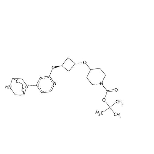 CC(C)(C)OC(=O)N1CCC(O[C@H]2C[C@H](Oc3cc(N4CC5CCCC4CN5)ccn3)C2)CC1